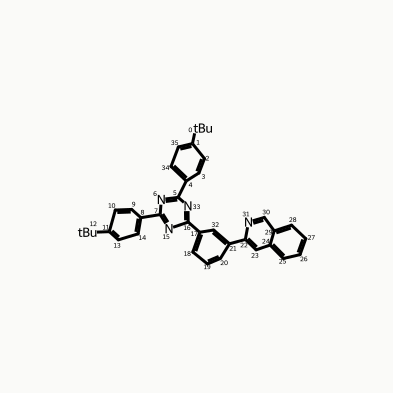 CC(C)(C)c1ccc(-c2nc(-c3ccc(C(C)(C)C)cc3)nc(-c3cccc(-c4cc5ccccc5cn4)c3)n2)cc1